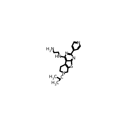 CC(C)CN1CCc2c(sc3nc(-c4ccncc4)nc(NCCN)c23)C1